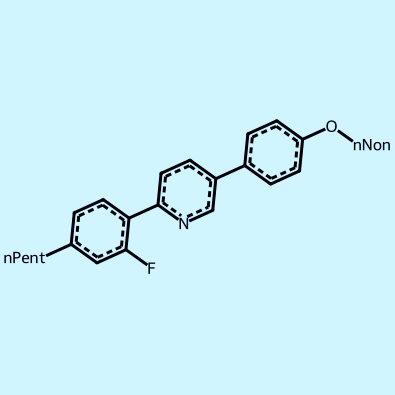 CCCCCCCCCOc1ccc(-c2ccc(-c3ccc(CCCCC)cc3F)nc2)cc1